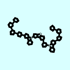 c1ccc(-c2cccc(-c3cccc(-c4ccc(-c5ccc6c(c5)c5ccccc5n6-c5ccc6oc7ccc(-c8cccc(-n9c%10ccccc%10c%10cc(-c%11cccc(-c%12cccc(-c%13ccccc%13)c%12)c%11)ccc%109)c8)cc7c6c5)cc4)c3)c2)cc1